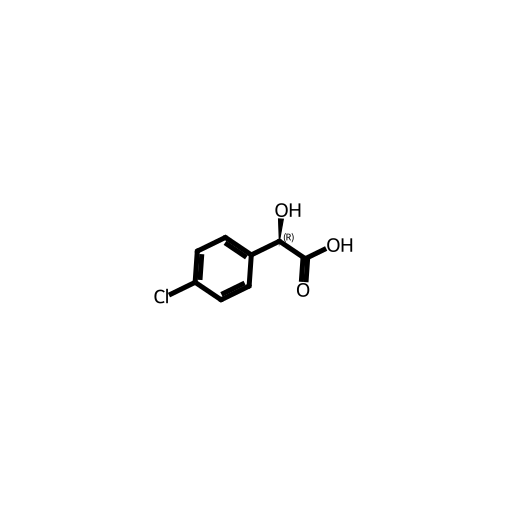 O=C(O)[C@H](O)c1ccc(Cl)cc1